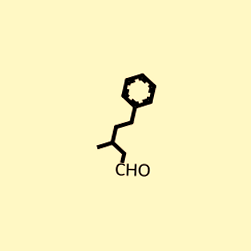 CC(CC=O)CCc1ccccc1